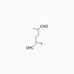 CC(C=O)CCC(I)C=O